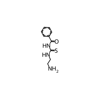 NCCNC(=S)NC(=O)c1ccccc1